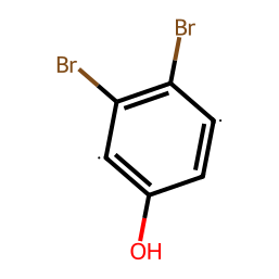 Oc1[c]c(Br)c(Br)[c]c1